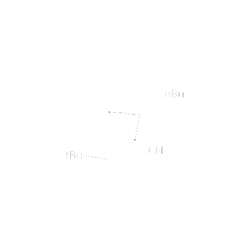 CCCCC1CC1(C)CC(C)(C)C